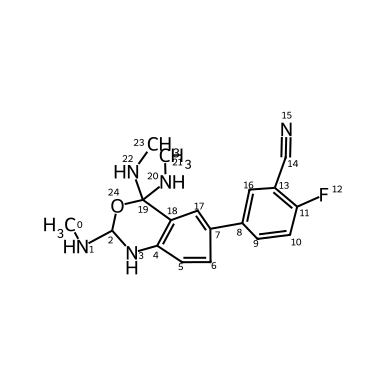 CNC1Nc2ccc(-c3ccc(F)c(C#N)c3)cc2C(NC)(NC)O1